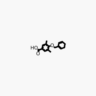 Cc1cc(C(=O)O)cc(C)c1OCC1=CCCC=C1